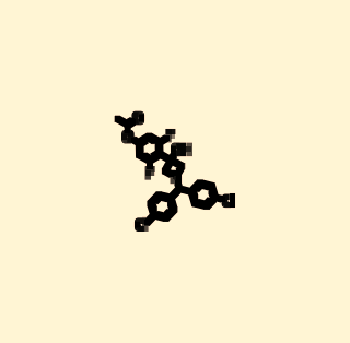 CC(=O)Oc1cc(F)c(C2(O)CN(C(c3ccc(Cl)cc3)c3ccc(Cl)cc3)C2)c(F)c1